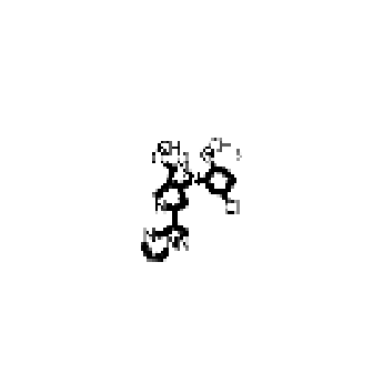 COc1ccc(Cl)cc1-n1nc(OC)c2cnc(-c3cnn4cccnc34)cc21